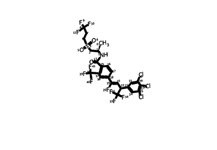 C[C@H](CS(=O)(=O)CCC(F)(F)F)NC(=O)c1ccc(/C(F)=C/C(c2cc(Cl)c(Cl)c(Cl)c2)C(F)(F)F)cc1C(F)(F)F